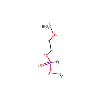 CCOC(=O)OCCOP(=O)(CC)OCC